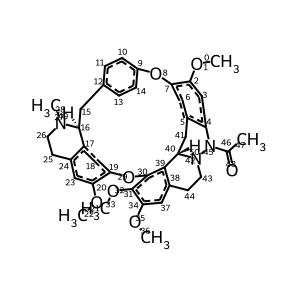 COc1cc2c3cc1Oc1ccc(cc1)C[C@H]1c4cc(c(OC)cc4CCN1C)Oc1c(OC)c(OC)cc4c1[C@H](C3)N(CC4)N2C(C)=O